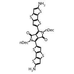 CCCCCCCCCCN1C(=O)C2=C(c3cc4sc5cc(N)sc5c4s3)N(CCCCCCCCCC)C(=O)C2=C1c1cc2sc3cc(N)sc3c2s1